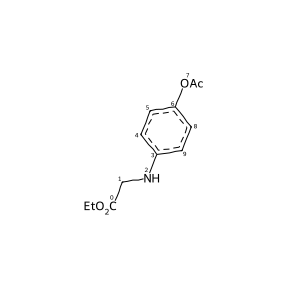 CCOC(=O)CNc1ccc(OC(C)=O)cc1